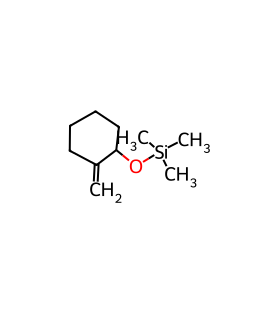 C=C1CCCCC1O[Si](C)(C)C